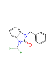 O=c1n(Cc2ccccc2)c2ccccc2n1C(F)F